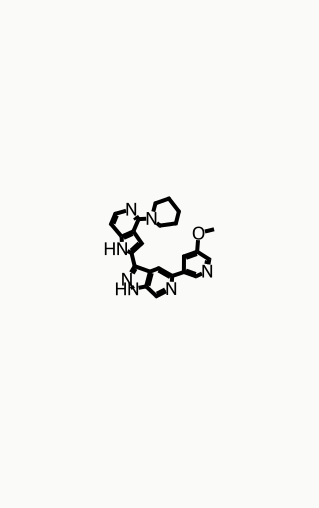 COc1cncc(-c2cc3c(-c4cc5c(N6CCCCC6)nccc5[nH]4)n[nH]c3cn2)c1